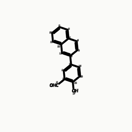 O=Cc1cc(-c2ccc3ccccc3c2)ccc1O